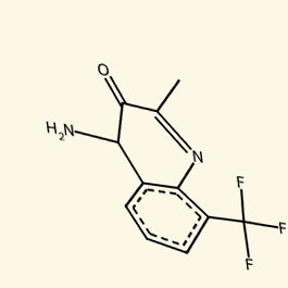 CC1=Nc2c(cccc2C(F)(F)F)C(N)C1=O